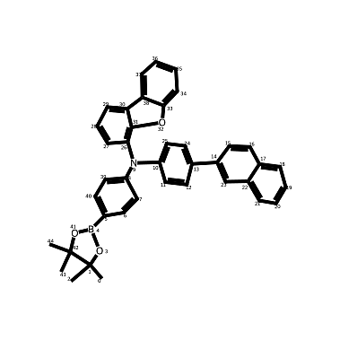 CC1(C)OB(c2ccc(N(c3ccc(-c4ccc5ccccc5c4)cc3)c3cccc4c3oc3ccccc34)cc2)OC1(C)C